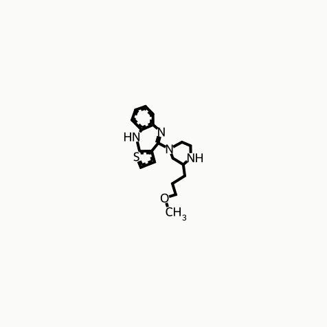 COCCCC1CN(C2=Nc3ccccc3Nc3sccc32)CCN1